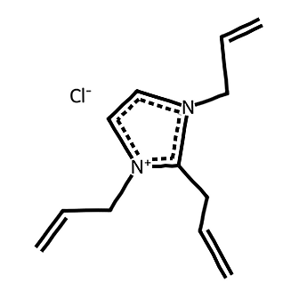 C=CCc1n(CC=C)cc[n+]1CC=C.[Cl-]